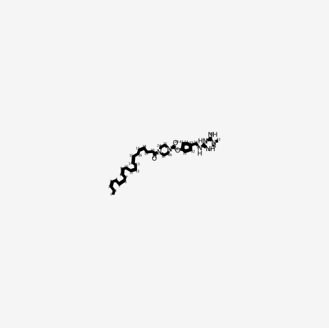 CC/C=C\C/C=C\C/C=C\C/C=C\C/C=C\C/C=C\CCC(=O)N1CCN(C(=O)Oc2ccc(CNC(=N)NC(=N)N(C)C)cc2)CC1